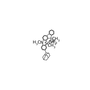 CN1c2ccc(C3C4CC5CC(C4)CC3C5)cc2[Si](C)(C)c2c1ccc1c2C(C)(C)c2ccccc2-1